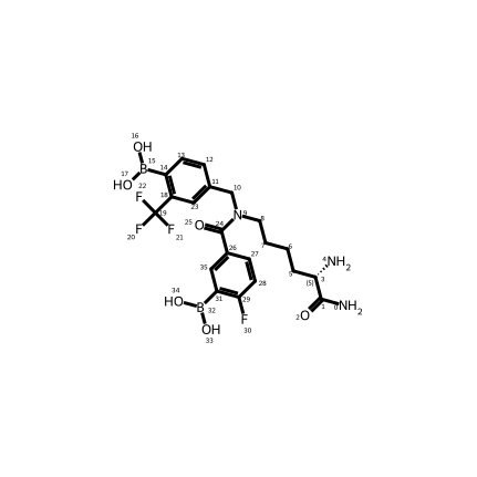 NC(=O)[C@@H](N)CCCCN(Cc1ccc(B(O)O)c(C(F)(F)F)c1)C(=O)c1ccc(F)c(B(O)O)c1